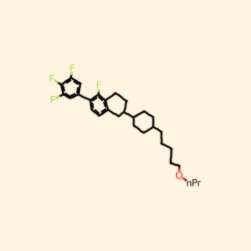 CCCOCCCCCC1CCC(C2CCc3c(ccc(-c4cc(F)c(F)c(F)c4)c3F)C2)CC1